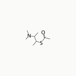 CC(=O)SC(C)C(C)N(C)C